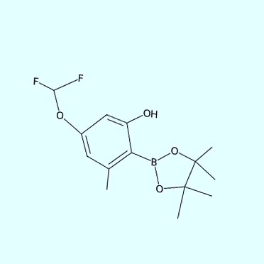 Cc1cc(OC(F)F)cc(O)c1B1OC(C)(C)C(C)(C)O1